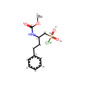 CC(C)(C)OC(=O)NC(CCc1ccccc1)CS(=O)(=O)Cl